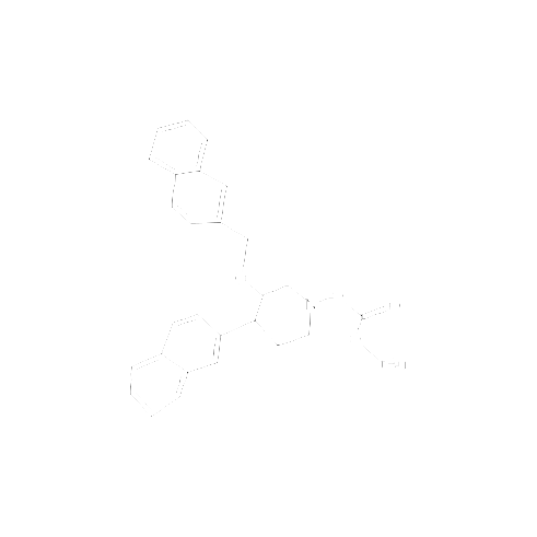 CC(C)(C)OC(=O)ON1CCC(c2ccc3ccccc3c2)C(OCc2ccc3ccccc3c2)C1